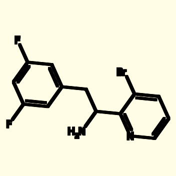 NC(Cc1cc(F)cc(F)c1)c1ncccc1Br